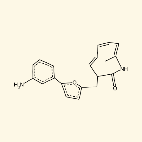 C\C1=C/C=C\C=C\C(Cc2ccc(-c3cccc(N)c3)o2)C(=O)N1